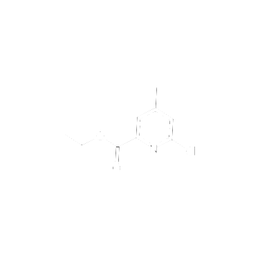 CCOC(=O)c1cc(C)cc(Cl)n1